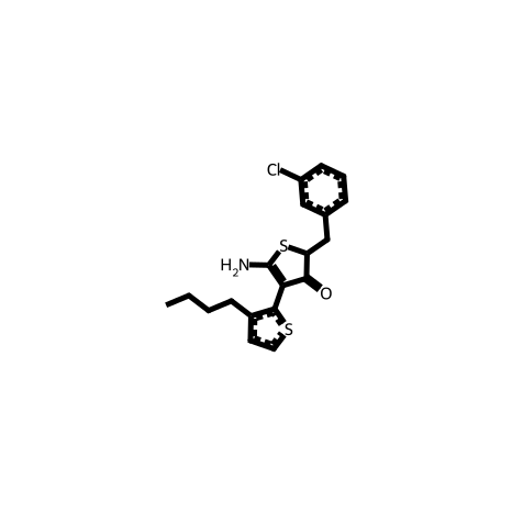 CCCCc1ccsc1C1=C(N)SC(Cc2cccc(Cl)c2)C1=O